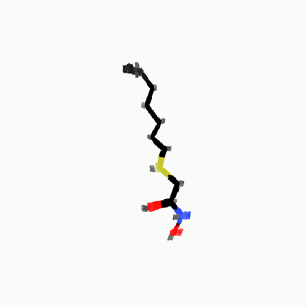 CCCCCCCCCCCCSCC(=O)NO